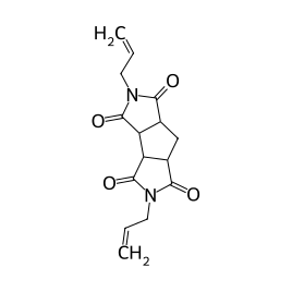 C=CCN1C(=O)C2CC3C(=O)N(CC=C)C(=O)C3C2C1=O